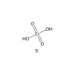 [O]=[Cr](=[O])([OH])[OH].[Ti]